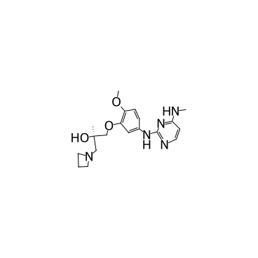 CNc1ccnc(Nc2ccc(OC)c(OC[C@](C)(O)CN3CCC3)c2)n1